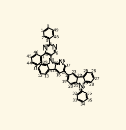 c1ccc(-c2ncc(-n3c4ccccc4c4cc(-c5ccc6c(c5)c5ccccc5n6-c5ccccc5)cnc43)c(-c3ccccc3)n2)cc1